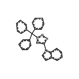 c1ccc(C(c2ccccc2)(c2ccccc2)n2nnc(-n3ccc4ccccc43)n2)cc1